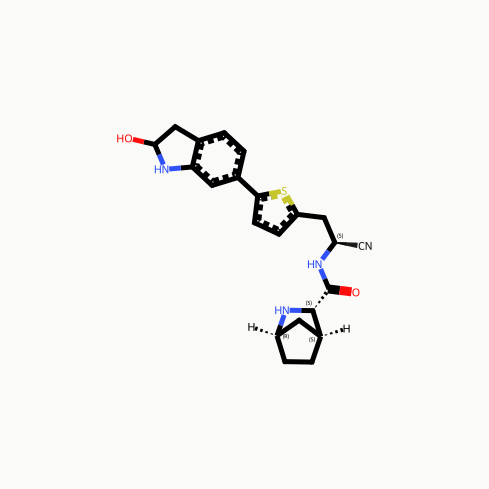 N#C[C@H](Cc1ccc(-c2ccc3c(c2)NC(O)C3)s1)NC(=O)[C@H]1N[C@@H]2CC[C@H]1C2